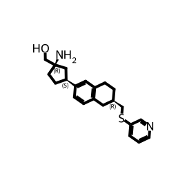 N[C@]1(CO)CC[C@H](c2ccc3c(c2)CC[C@@H](CSc2cccnc2)C3)C1